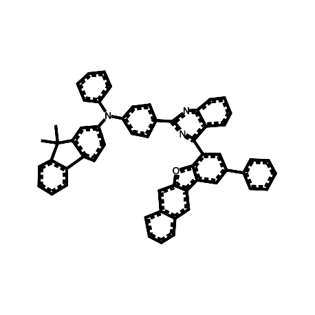 CC1(C)c2ccccc2-c2ccc(N(c3ccccc3)c3ccc(-c4nc(-c5cc(-c6ccccc6)cc6c5oc5cc7ccccc7cc56)c5ccccc5n4)cc3)cc21